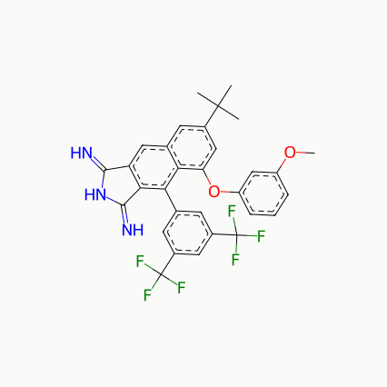 COc1cccc(Oc2cc(C(C)(C)C)cc3cc4c(c(-c5cc(C(F)(F)F)cc(C(F)(F)F)c5)c23)C(=N)NC4=N)c1